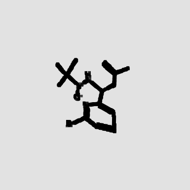 C=C(C)C[C@H](N[S@@+]([O-])C(C)(C)C)c1cccc(Br)n1